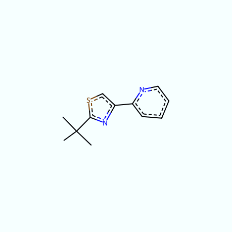 CC(C)(C)c1nc(-c2ccccn2)cs1